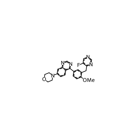 COc1ccc(-c2ncnc3cc(N4CCOCC4)ccc23)cc1Cc1ncncc1F